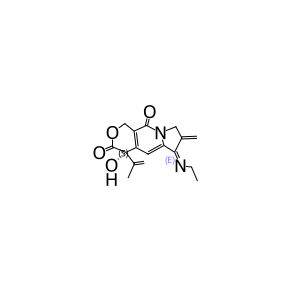 C=C1Cn2c(cc3c(c2=O)COC(=O)[C@]3(O)C(=C)C)/C1=N/CC